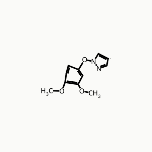 COc1ccc(On2c[c]cn2)cc1OC